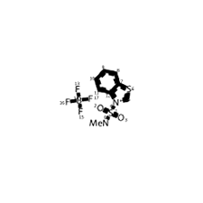 CNS(=O)(=O)[n+]1csc2ccccc21.F[B-](F)(F)F